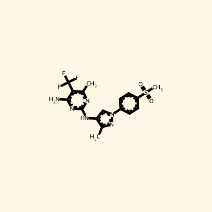 Cc1nn(-c2ccc(S(C)(=O)=O)cc2)cc1Nc1nc(C)c(C(F)(F)F)c(N)n1